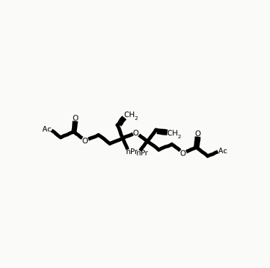 C=CC(CCC)(CCOC(=O)CC(C)=O)OC(C=C)(CCC)CCOC(=O)CC(C)=O